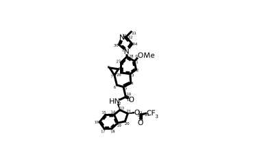 COc1cc(/C=C(\CC2CC2)C(=O)N[C@@H]2c3ccccc3C[C@@H]2OC(=O)C(F)(F)F)ccc1-n1cnc(C)c1